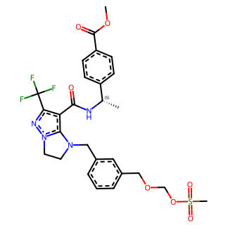 COC(=O)c1ccc([C@H](C)NC(=O)c2c(C(F)(F)F)nn3c2N(Cc2cccc(COCOS(C)(=O)=O)c2)CC3)cc1